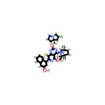 Oc1cc(-c2nc3c4c(nc(OC[C@@]56CCCN5C[C@H](F)C6)nc4c2F)N2C[C@H]4CC[C@H](N4)[C@@H]2CO3)c2ccccc2c1